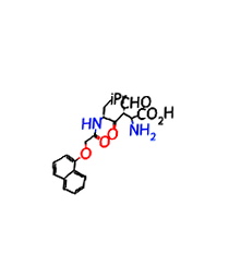 CC(C)C[C@H](NC(=O)COc1cccc2ccccc12)C(=O)[C@H](C=O)C(N)C(=O)O